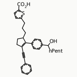 CCCCCC(O)c1ccc(C2=C(C#Cc3ccccc3)CCC2CCCc2ccc(C(=O)O)s2)cc1